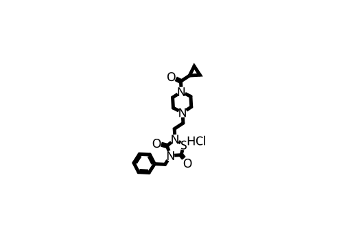 Cl.O=C(C1CC1)N1CCN(CCn2sc(=O)n(Cc3ccccc3)c2=O)CC1